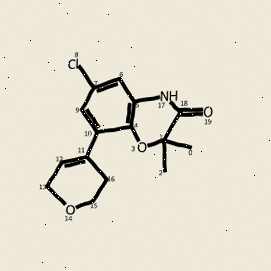 CC1(C)Oc2c(cc(Cl)cc2C2=CCOCC2)NC1=O